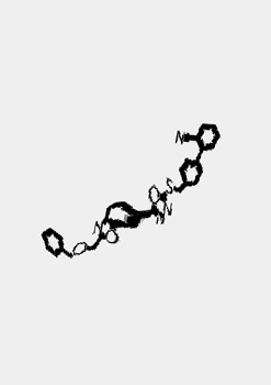 N#Cc1ccccc1-c1ccc(CSc2nnc(-c3ccc4nc(COCc5ccccc5)oc4c3)o2)cc1